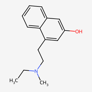 CCN(C)CCc1cc(O)cc2ccccc12